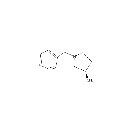 C[C@@H]1CCN(Cc2ccccc2)C1